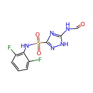 O=CNc1nc(S(=O)(=O)Nc2c(F)cccc2F)n[nH]1